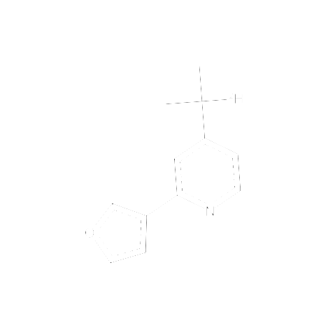 [2H]C(C)(C)c1ccnc(-c2ccoc2)c1